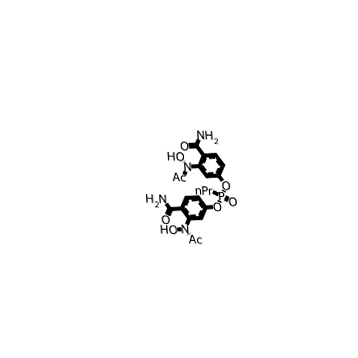 CCCP(=O)(Oc1ccc(C(N)=O)c(N(O)C(C)=O)c1)Oc1ccc(C(N)=O)c(N(O)C(C)=O)c1